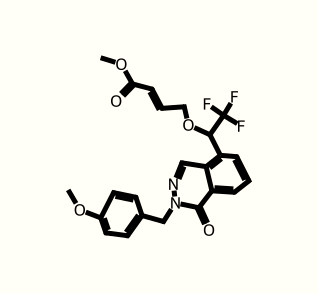 COC(=O)/C=C/COC(c1cccc2c(=O)n(Cc3ccc(OC)cc3)ncc12)C(F)(F)F